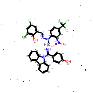 CN(/N=C/c1cc(Cl)cc(Cl)c1O)c1ccc(C(F)(F)F)cc1[N+](=O)[O-].N=C(c1ccc(O)cc1)n1c2ccccc2c2ccccc21